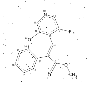 COC(=O)C1=Cc2c(F)cncc2Oc2ccccc21